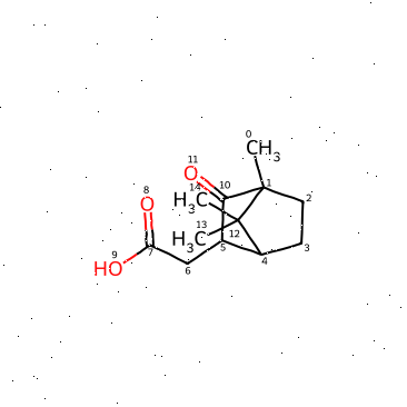 CC12CCC(C(CC(=O)O)C1=O)C2(C)C